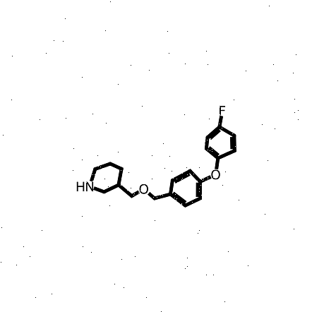 Fc1ccc(Oc2ccc(COCC3CCCNC3)cc2)cc1